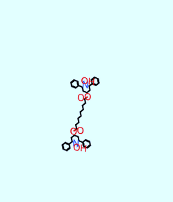 O=C(CCCCCCCCC(=O)OC1CC(c2ccccc2)N(O)C(c2ccccc2)C1)OC1CC(c2ccccc2)N(O)C(c2ccccc2)C1